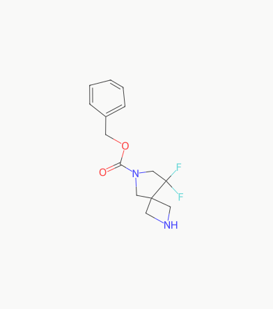 O=C(OCc1ccccc1)N1CC(F)(F)C2(CNC2)C1